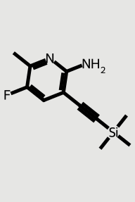 Cc1nc(N)c(C#C[Si](C)(C)C)cc1F